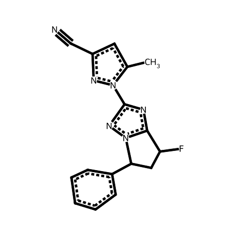 Cc1cc(C#N)nn1-c1nc2n(n1)C(c1ccccc1)CC2F